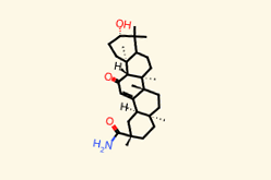 CC1(C)C2CC[C@]3(C)[C@H](C(=O)C=C4[C@@H]5C[C@@](C)(C(N)=O)CC[C@]5(C)CC[C@]43C)[C@@]2(C)CC[C@@H]1O